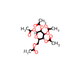 CC(=O)OCC1O[C@@H](OC(C)=O)C(OC(C)=O)C(OC(C)=O)[C@@H]1OC(C)=O